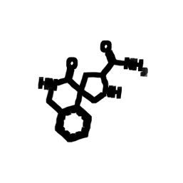 NC(=O)C1CC2(CN1)C(=O)NCc1ccccc12